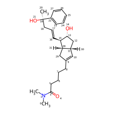 CN(C)C(=O)CCCCC1=C[C@H]2C[C@@H](O)[C@H](/C=C/C[C@@](C)(O)c3ccccc3)[C@H]2C1